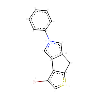 Brc1csc2c1-c1cn(-c3ccccc3)cc1C2